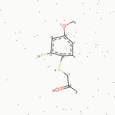 COc1ccc(SCC(C)=O)c(F)c1